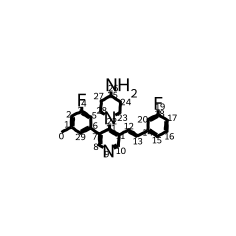 Cc1cc(F)cc(-c2cncc(C=Cc3cccc(F)c3)c2N2CCC(N)CC2)c1